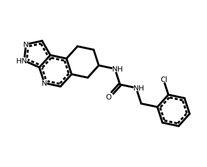 O=C(NCc1ccccc1Cl)NC1CCc2c(cnc3[nH]ncc23)C1